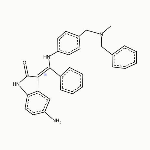 CN(Cc1ccccc1)Cc1ccc(N/C(=C2\C(=O)Nc3ccc(N)cc32)c2ccccc2)cc1